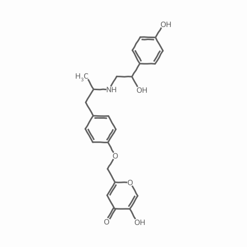 CC(Cc1ccc(OCc2cc(=O)c(O)co2)cc1)NCC(O)c1ccc(O)cc1